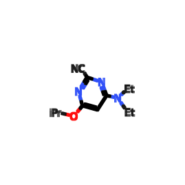 CCN(CC)c1cc(OC(C)C)nc(C#N)n1